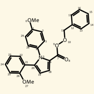 COc1ccc(-n2c(C(=O)OOCc3ccccc3)ccc2-c2ccccc2OC)cc1